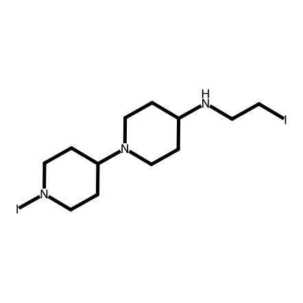 ICCNC1CCN(C2CCN(I)CC2)CC1